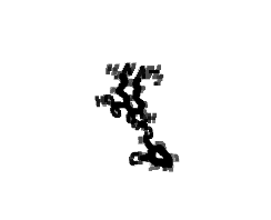 NCCCCC(NC(=O)OCc1ccccc1Cl)C(=O)C(CCCCN)C(=O)O